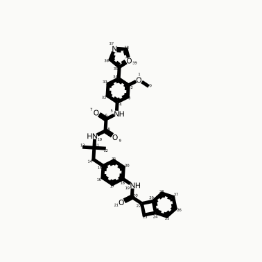 COc1cc(NC(=O)C(=O)NC(C)(C)Cc2ccc(NC(=O)C3Cc4ccccc43)cc2)ccc1-c1cnco1